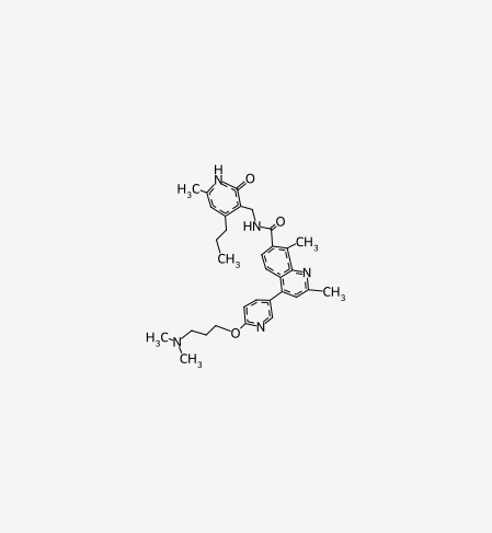 CCCc1cc(C)[nH]c(=O)c1CNC(=O)c1ccc2c(-c3ccc(OCCCN(C)C)nc3)cc(C)nc2c1C